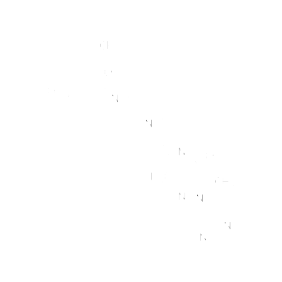 Cc1nn(-c2cncnc2)c(C)c1C(=O)N1CC2CN(CC[C@H](NC(=O)C3CCC(=O)C3)c3cccc(Cl)c3)CC2C1